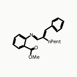 CCCCCC(C=Nc1ccccc1C(=O)OC)=Cc1ccccc1